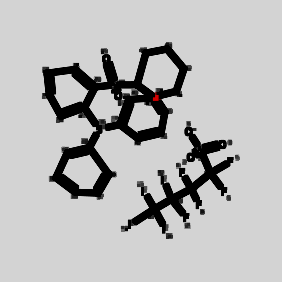 O=S(=O)([O-])C(F)(F)C(F)(F)C(F)(F)C(F)(F)F.O=S(=O)(c1ccccc1[S+](c1ccccc1)c1ccccc1)C1CCCCC1